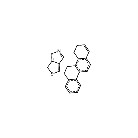 C1=Cc2ccc3c(c2CC1)CCc1ccccc1-3.C1=NC=C2CSC=C12